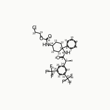 C[C@H](C(=O)NC1(c2ccccc2)CCC(NC(=O)OCCCl)CC1)c1cc(C(F)(F)F)cc(C(F)(F)F)c1